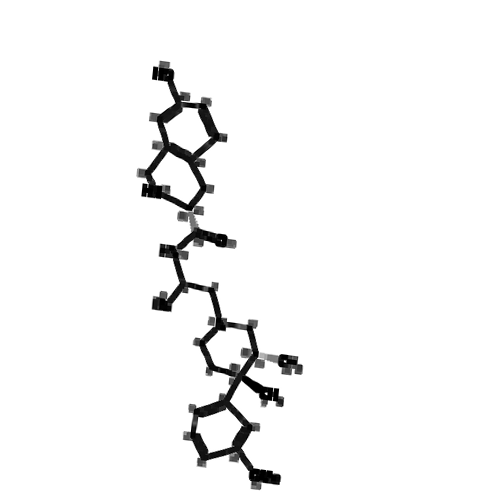 CCC(C)C(CN1CC[C@@](C)(c2cccc(OC)c2)[C@@H](C)C1)NC(=O)[C@H]1Cc2ccc(O)cc2CN1